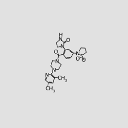 Cc1cnc(N2CCN(C(=O)c3ccc(N4CCCS4(=O)=O)cc3N3CCNC3=O)CC2)c(C)c1